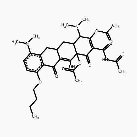 CCCCOc1ccc(N(C)C)c2c1C(=O)C1=C(O)C3(OC(C)=O)C(=O)C(C(=O)NC(C)=O)=C(OC(C)=O)C(N(C)C)C3CC1C2